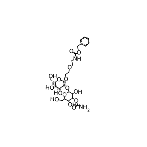 NC(=O)OC1C(O)C(CO)OC(O[C@@H]2[C@H](OCCOCCNC(=O)OCc3ccccc3)O[C@@H](CO)[C@@H](O)[C@@H]2O)C1O